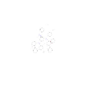 CC(C)(C)c1ccc2c(c1)B1c3c(cc(N4c5ccc(C(C)(C)C)cc5C5(C)CCCCC45C)cc3N2c2cccc3oc4ccccc4c23)N(c2ccc(C(C)(C)C)cc2-c2ccccc2)c2ccc3c(sc4ccccc43)c21